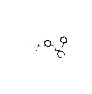 CN(C)C(=O)Oc1cccc(NC(=O)C2(OCc3ccccc3)CCNCC2)c1